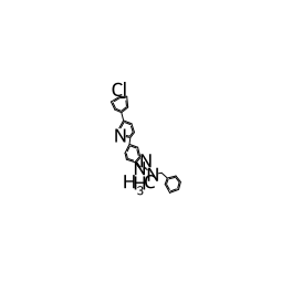 CN(Cc1ccccc1)c1nc2cc(-c3ccc(-c4ccc(Cl)cc4)cn3)ccc2[nH]1